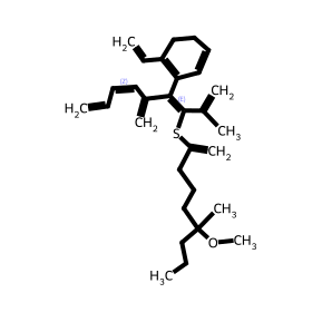 C=C/C=C\C(=C)/C(C1=C(C=C)CCC=C1)=C(\SC(=C)CCCC(C)(CCC)OC)C(=C)C